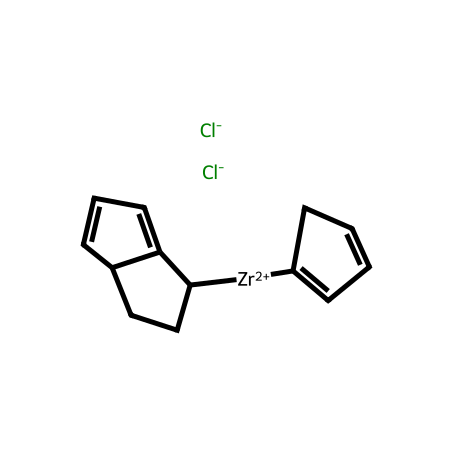 C1=CC[C]([Zr+2][CH]2CCC3C=CC=C32)=C1.[Cl-].[Cl-]